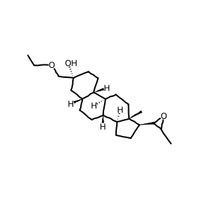 CCOC[C@@]1(O)CC[C@H]2[C@H](CC[C@@H]3[C@@H]2CC[C@]2(C)[C@@H](C4OC4C)CC[C@@H]32)C1